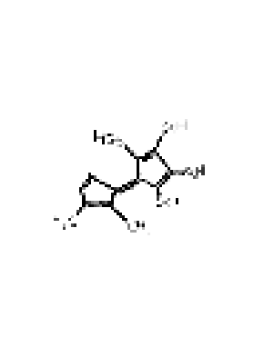 CC1=C(C)C(=C2C([SeH])=C([SeH])C([SeH])=C2[SeH])C=C1